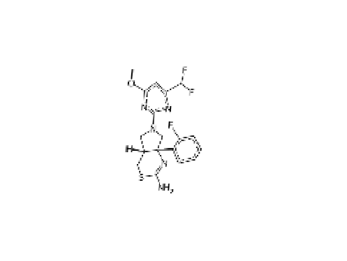 COc1cc(C(F)F)nc(N2C[C@H]3CSC(N)=N[C@@]3(c3ccccc3F)C2)n1